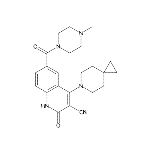 CN1CCN(C(=O)c2ccc3[nH]c(=O)c(C#N)c(N4CCC5(CC4)CC5)c3c2)CC1